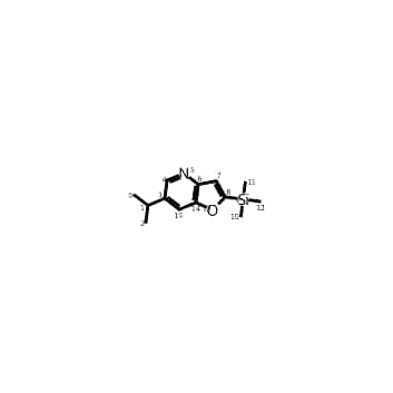 CC(C)c1cnc2cc([Si](C)(C)C)oc2c1